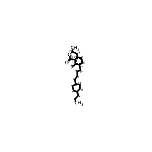 CCCC1CCC(CCCCc2ccc3c(c2F)C(=O)OC(C)C3)CC1